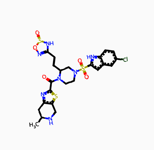 CC1Cc2nc(C(=O)N3CCN(S(=O)(=O)c4cc5cc(Cl)ccc5[nH]4)CC3CCC3=NOS(=O)N3)sc2CN1